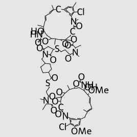 COc1cc2cc(c1Cl)N(C)C(=O)CC(OC(=O)C(C)N(C)C(=O)CCSC(=O)C1CCC(CN3C(=O)CC(SCCC(=O)N(C)C(C)C(=O)OC4CC(=O)N(C)c5cc(cc(C)c5Cl)C/C(C)=C/C=C/C(C)C5(O)CC(OC(=O)N5)C(C)C5OC45C)C3=O)CC1)C1(C)OC1C(C)C1CC(O)(NC(=O)O1)C(OC)/C=C/C=C(\C)C2